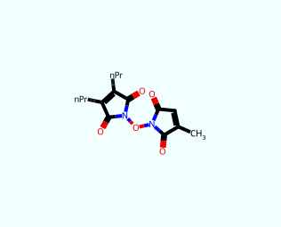 CCCC1=C(CCC)C(=O)N(ON2C(=O)C=C(C)C2=O)C1=O